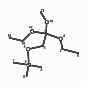 CCOC(CO[Si](C)(C)C)(OC)OCC